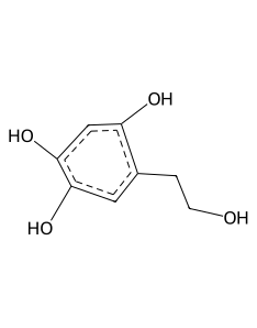 OCCc1cc(O)c(O)cc1O